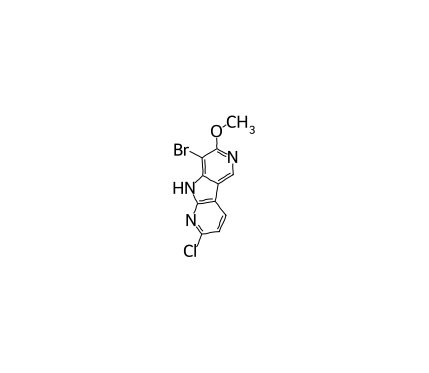 COc1ncc2c([nH]c3nc(Cl)ccc32)c1Br